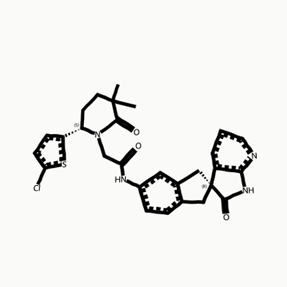 CC1(C)CC[C@@H](c2ccc(Cl)s2)N(CC(=O)Nc2ccc3c(c2)C[C@@]2(C3)C(=O)Nc3ncccc32)C1=O